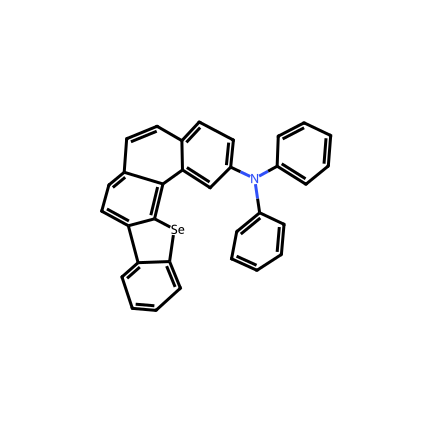 c1ccc(N(c2ccccc2)c2ccc3ccc4ccc5c6ccccc6[se]c5c4c3c2)cc1